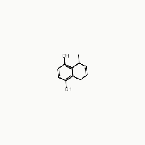 CC1C=CCc2c(O)ccc(O)c21